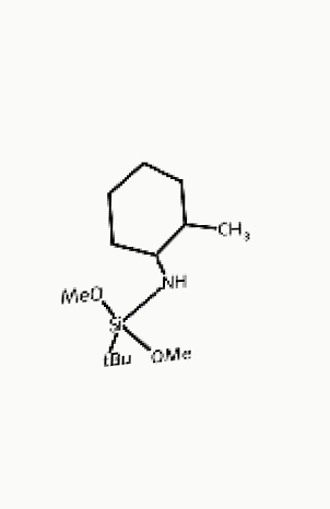 CO[Si](NC1CCCCC1C)(OC)C(C)(C)C